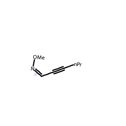 [CH2]CCC#C/C=N\OC